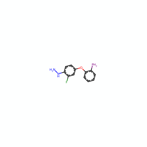 NNc1ccc(Oc2ccccc2P)cc1F